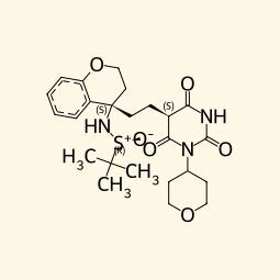 CC(C)(C)[S@+]([O-])N[C@@]1(CC[C@H]2C(=O)NC(=O)N(C3CCOCC3)C2=O)CCOc2ccccc21